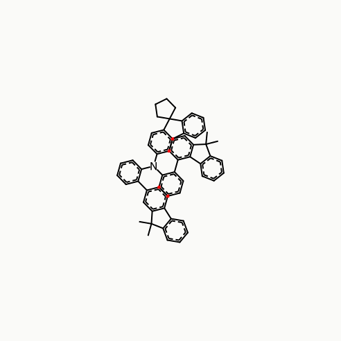 CC1(C)c2ccccc2-c2ccc(-c3ccccc3N(c3ccc4c(c3)-c3ccccc3C43CCCC3)c3ccccc3-c3cccc4c3-c3ccccc3C4(C)C)cc21